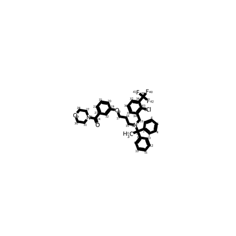 CC(c1ccccc1)(c1ccccc1)N(CCCOc1cccc(C(=O)N2CCOCC2)c1)Cc1cccc(C(F)(F)F)c1Cl